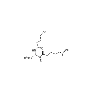 CCCCC[C@H](NC(=O)CCCC(C)=O)C(=O)NCCCC[C@H](C)C(C)=O